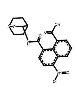 O=C(O)c1cccc2c([N+](=O)[O-])ccc(C(=O)NC3CN4CCC3CC4)c12